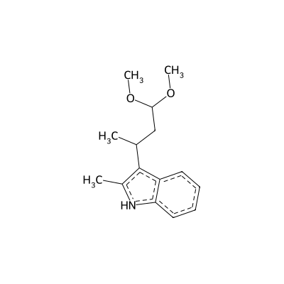 COC(CC(C)c1c(C)[nH]c2ccccc12)OC